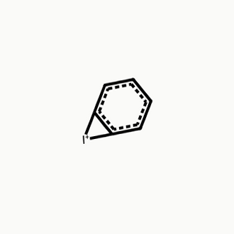 c1ccc2c(c1)[I+]2